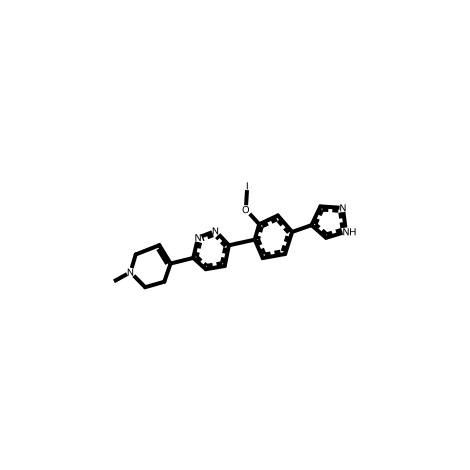 CN1CC=C(c2ccc(-c3ccc(-c4cn[nH]c4)cc3OI)nn2)CC1